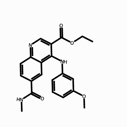 CCOC(=O)c1cnc2ccc(C(=O)NC)cc2c1Nc1cccc(OC)c1